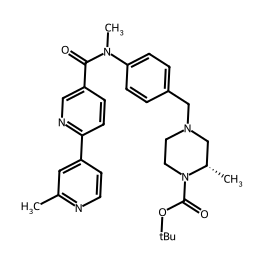 Cc1cc(-c2ccc(C(=O)N(C)c3ccc(CN4CCN(C(=O)OC(C)(C)C)[C@@H](C)C4)cc3)cn2)ccn1